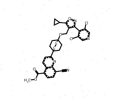 COC(=O)c1ccc(C#N)c2nc(C34CCC(OCc5c(-c6c(Cl)cncc6Cl)noc5C5CC5)(CC3)CC4)ccc12